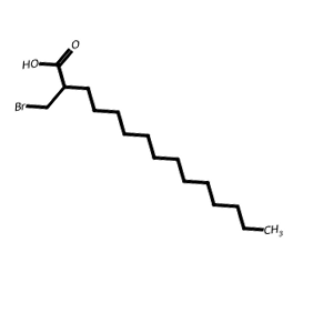 CCCCCCCCCCCCCC(CBr)C(=O)O